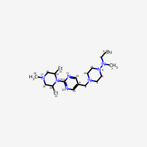 CCC(C)CN(C)N1CCN(Cc2cnc(N3C(CC)CN(C)CC3CC)nc2)CC1